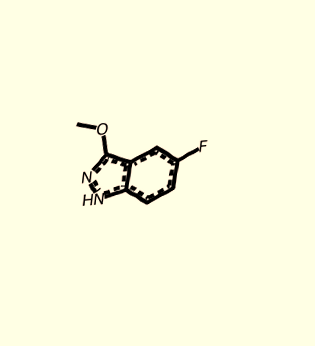 COc1n[nH]c2ccc(F)cc12